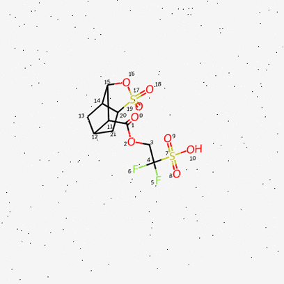 O=C(OCC(F)(F)S(=O)(=O)O)C1C2CC3C1OS(=O)(=O)C3C2